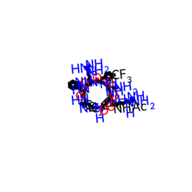 C=C(N)C1CCCNC(=O)CC[C@H](NC(=O)[C@H](CCCNC(=N)N)NC(C)=O)C(=O)N[C@@H](CCN)C(=O)N[C@H](Cc2ccc(C(F)(F)F)cc2)C(=O)N[C@@H](CCCNC(=N)N)C(=O)N[C@@H](Cc2c[nH]c3ccccc23)C(=O)N1